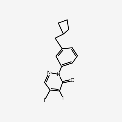 O=c1c(I)c(I)cnn1-c1cccc(CC2CCC2)c1